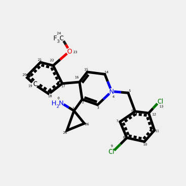 NC1(C2=CN(Cc3cc(Cl)ccc3Cl)CC=C2c2ccccc2OC(F)(F)F)CC1